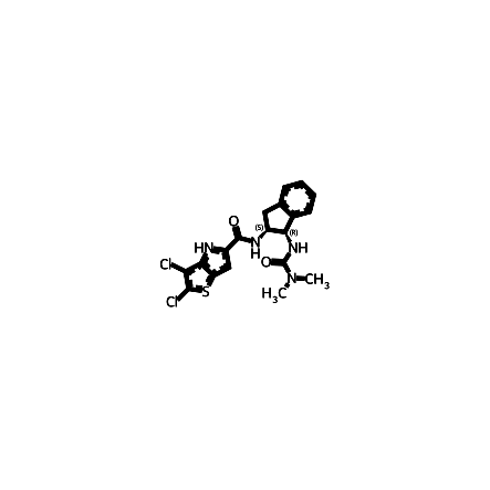 CN(C)C(=O)N[C@@H]1c2ccccc2C[C@@H]1NC(=O)c1cc2sc(Cl)c(Cl)c2[nH]1